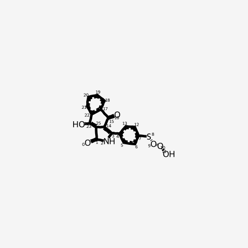 O=C1NC(c2ccc(SOOO)cc2)=C2C(=O)c3ccccc3C(O)=C12